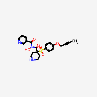 CC#CCOc1ccc(S(=O)(=O)C2(C(=O)N(O)C(=O)c3cccnc3)CCNCC2)cc1